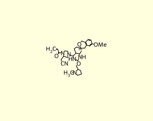 C=CC(=O)N1CCN(C2NC(OCC3CCCN3C)NC3C[C@@]4(CCC32)Cc2cc(OC)ccc2CO4)CC1CC#N